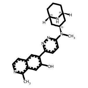 Cc1nccc2cc(-c3ccc(N(C)[C@@H]4C[C@H]5CCC[C@@H](C4)N5)nn3)c(O)cc12